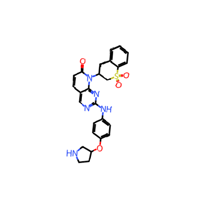 O=c1ccc2cnc(Nc3ccc(OC4CCNC4)cc3)nc2n1C1Cc2ccccc2S(=O)(=O)C1